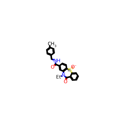 CCN1C(=O)c2ccccc2[S@+]([O-])c2ccc(C(=O)NCc3ccc(C)cc3)cc21